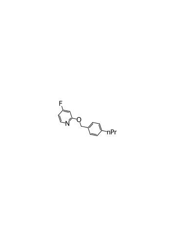 CCCc1ccc(COc2cc(F)ccn2)cc1